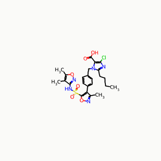 CCCCc1nc(Cl)c(C(=O)O)n1Cc1ccc(-c2c(C)noc2S(=O)(=O)Nc2noc(C)c2C)cc1